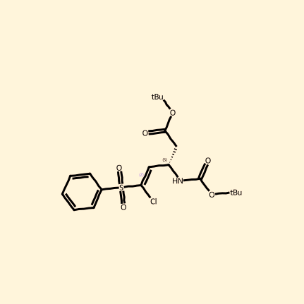 CC(C)(C)OC(=O)C[C@@H](/C=C(\Cl)S(=O)(=O)c1ccccc1)NC(=O)OC(C)(C)C